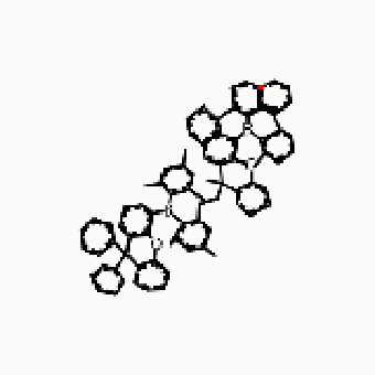 Cc1cc(C)c(B(c2cccc3c2Oc2ccccc2C3(c2ccccc2)c2ccccc2)c2c(C)cc(C)cc2CCC2(C)c3ccccc3Oc3c(B(c4c(C)cccc4-c4ccccc4)c4c(C)cccc4-c4ccccc4)cccc32)c(C)c1